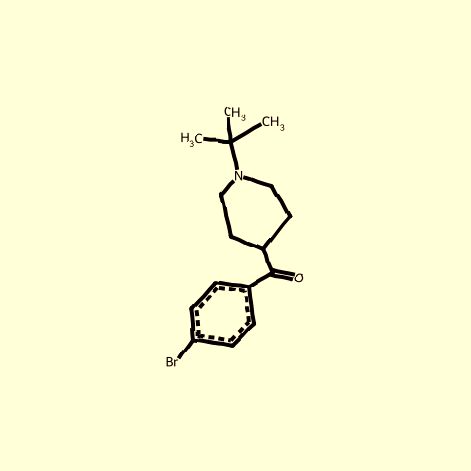 CC(C)(C)N1CCC(C(=O)c2ccc(Br)cc2)CC1